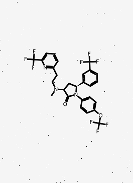 CN(CCc1cccc(C(F)(F)F)n1)[C@H]1C[C@@H](c2cccc(C(F)(F)F)c2)N(c2ccc(OC(F)(F)F)cc2)C1=O